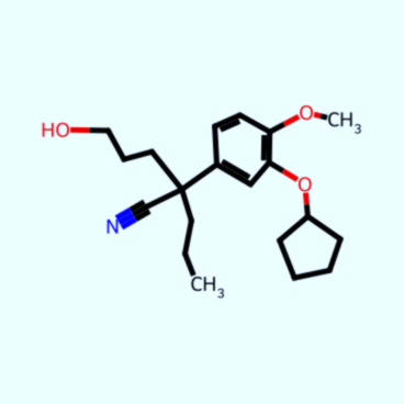 CCCC(C#N)(CCCO)c1ccc(OC)c(OC2CCCC2)c1